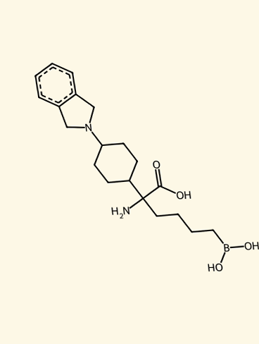 NC(CCCCB(O)O)(C(=O)O)C1CCC(N2Cc3ccccc3C2)CC1